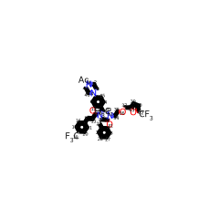 CC(=O)N1CCN(c2ccc(CN(C(=O)C=Cc3ccc(C(F)(F)F)cc3)[C@@H](Cc3ccccc3)C(=O)N(C)CCOCc3ccc(C(F)(F)F)o3)cc2)CC1